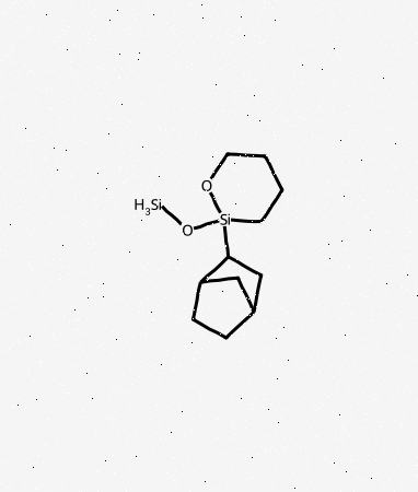 [SiH3]O[Si]1(C2CC3CCC2C3)CCCCO1